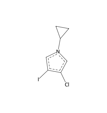 Clc1cn(C2CC2)cc1I